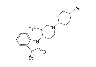 CCC1C(=O)N(C2CCN(C3CCC(C(C)C)CC3)CC2C)c2ccccc21